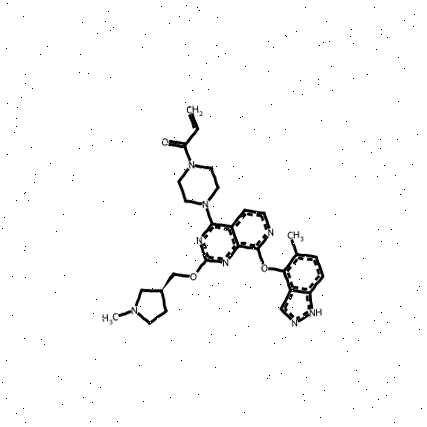 C=CC(=O)N1CCN(c2nc(OC[C@H]3CCN(C)C3)nc3c(Oc4c(C)ccc5[nH]ncc45)nccc23)CC1